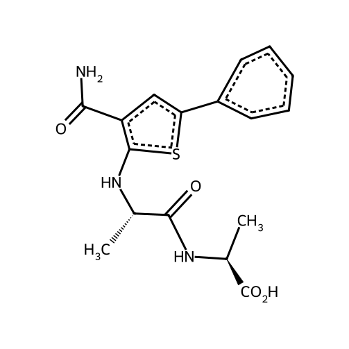 C[C@H](NC(=O)[C@H](C)Nc1sc(-c2ccccc2)cc1C(N)=O)C(=O)O